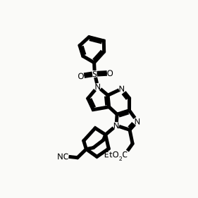 CCOC(=O)Cc1nc2cnc3c(ccn3S(=O)(=O)c3ccccc3)c2n1C12CCC(CC#N)(CC1)CC2